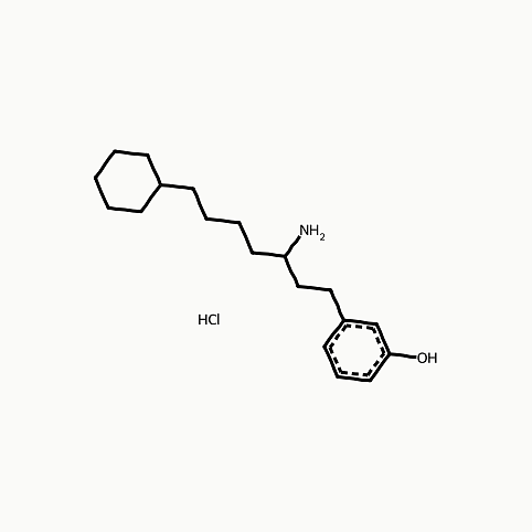 Cl.NC(CCCCC1CCCCC1)CCc1cccc(O)c1